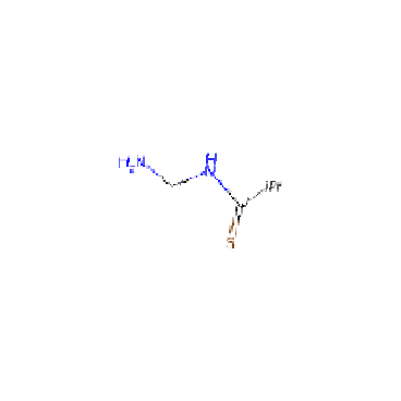 CC(C)C(=S)NCN